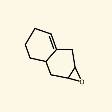 C1=C2CC3OC3CC2CCC1